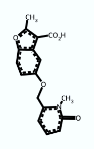 Cc1oc2ccc(OCc3cccc(=O)n3C)cc2c1C(=O)O